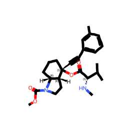 CN[C@H](C(=O)O[C@@]1(C#Cc2cccc(C)c2)CCC[C@@H]2[C@H]1CCN2C(=O)OC)C(C)C